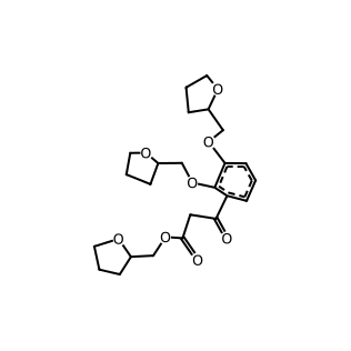 O=C(CC(=O)c1cccc(OCC2CCCO2)c1OCC1CCCO1)OCC1CCCO1